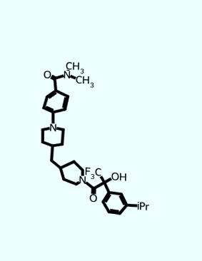 CC(C)c1cccc(C(O)(C(=O)N2CCC(CC3CCN(c4ccc(C(=O)N(C)C)cc4)CC3)CC2)C(F)(F)F)c1